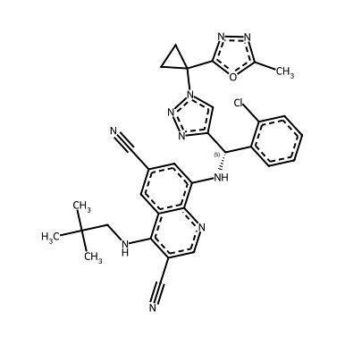 Cc1nnc(C2(n3cc([C@@H](Nc4cc(C#N)cc5c(NCC(C)(C)C)c(C#N)cnc45)c4ccccc4Cl)nn3)CC2)o1